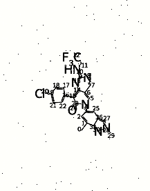 Cc1cc(-n2cc3cnc(NCC(F)(F)F)nc3c(-c3ccc(Cl)cc3)c2=O)cc2cn(C)nc12